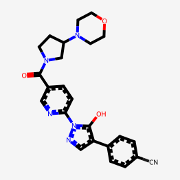 N#Cc1ccc(-c2cnn(-c3ccc(C(=O)N4CCC(N5CCOCC5)C4)cn3)c2O)cc1